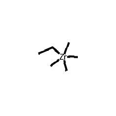 C[CH2][Zr]([CH3])([CH3])([CH3])[CH3]